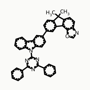 CC1(C)c2ccc(-c3ccc4c(c3)c3ccccc3n4-c3nc(-c4ccccc4)nc(-c4ccccc4)n3)cc2-c2c1ccc1ncoc21